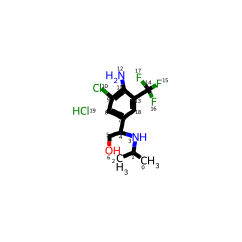 CC(C)NC(CO)c1cc(Cl)c(N)c(C(F)(F)F)c1.Cl